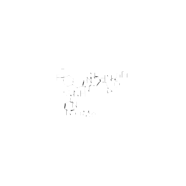 CCCC(=O)N[C@@H](c1cnn2cc([C@@H](NC(=O)c3ccnc(OC)n3)C3CCC(F)(F)CC3)nc2c1)C1CC1